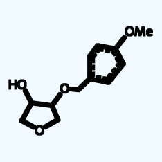 COc1ccc(COC2COCC2O)cc1